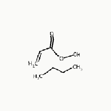 C=CC(=O)OO.CCCC